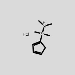 C[SiH](C)[Zr]([CH3])([CH3])[C]1=CC=CC1.Cl